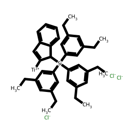 CCc1cc(CC)cc([Si](c2cc(CC)cc(CC)c2)(c2cc(CC)cc(CC)c2)C2[C]([Ti+3])=Cc3ccccc32)c1.[Cl-].[Cl-].[Cl-]